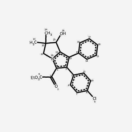 CCOC(=O)C(=O)c1c(-c2ccc(Cl)cc2)c(-c2ccccc2)c2n1CC(C)(C)C2O